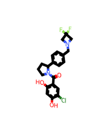 O=C(c1cc(Cl)c(O)cc1O)N1CCCC1c1ccc(CN2CC(F)(F)C2)cc1